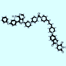 Nc1ncnc2c1c(-c1ccc(Oc3ccccc3)cc1)nn2C1CCCN(C2CCN(C(=O)N3CCC(CCCC4CCN(c5ccc6c(c5)CN(C5CCC(=O)NC5=O)C6=O)CC4)CC3)CC2)C1